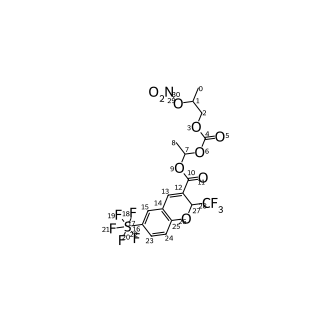 CC(COC(=O)OC(C)OC(=O)C1=Cc2cc(S(F)(F)(F)(F)F)ccc2OC1C(F)(F)F)O[N+](=O)[O-]